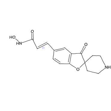 O=C(/C=C/c1ccc2c(c1)C(=O)C1(CCNCC1)O2)NO